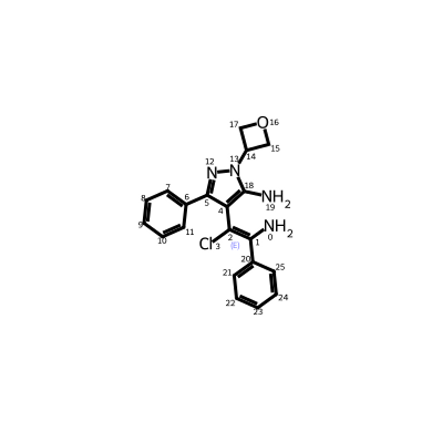 N/C(=C(/Cl)c1c(-c2ccccc2)nn(C2COC2)c1N)c1ccccc1